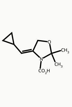 CC1(C)OCC(=CC2CC2)N1C(=O)O